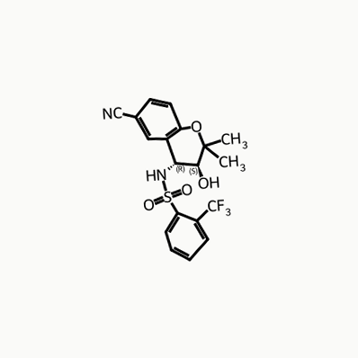 CC1(C)Oc2ccc(C#N)cc2[C@@H](NS(=O)(=O)c2ccccc2C(F)(F)F)[C@@H]1O